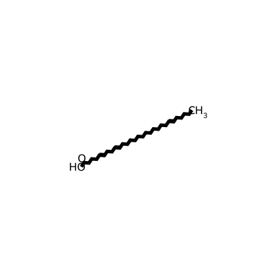 CCCCCC=CCCCCCCCCCCCCC=CCCC=CCCCC(=O)O